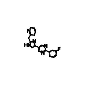 Fc1cccc(-c2ncc(-c3c[nH]c(Cc4ccccn4)n3)cn2)c1